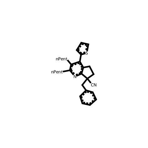 CCCCCc1nc2c(c(-c3cccs3)c1CCCCC)CCC2(C#N)Cc1ccccc1